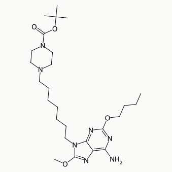 CCCCOc1nc(N)c2nc(OC)n(CCCCCCCN3CCN(C(=O)OC(C)(C)C)CC3)c2n1